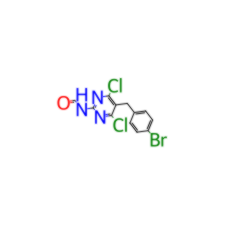 O=CNc1nc(Cl)c(Cc2ccc(Br)cc2)c(Cl)n1